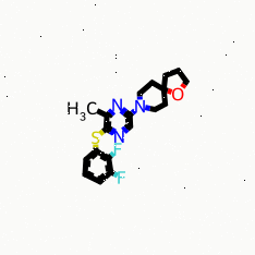 Cc1nc(N2CCC3(CCCO3)CC2)cnc1Sc1cccc(F)c1F